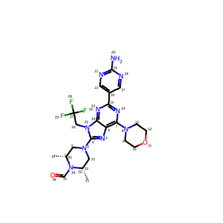 C[C@@H]1CN(c2nc3c(N4CCOCC4)nc(-c4cnc(N)nc4)nc3n2CC(F)(F)F)C[C@H](C)N1C=O